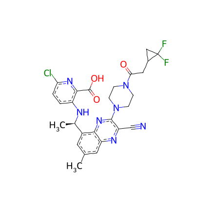 Cc1cc([C@@H](C)Nc2ccc(Cl)nc2C(=O)O)c2nc(N3CCN(C(=O)CC4CC4(F)F)CC3)c(C#N)nc2c1